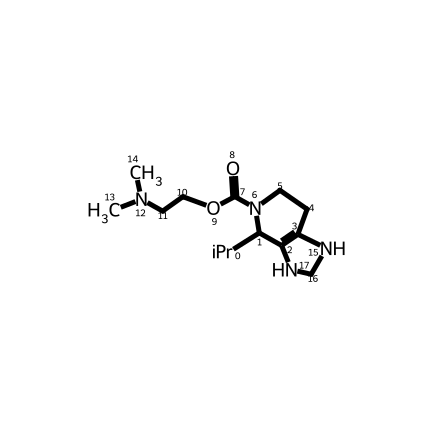 CC(C)C1C2=C(CCN1C(=O)OCCN(C)C)NCN2